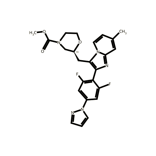 COC(=O)N1CCO[C@@H](Cc2c(-c3c(F)cc(-n4cccn4)cc3F)nc3cc(C)ccn23)C1